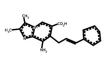 Cc1nc2c(N)c(CC=Cc3ccccc3)c(C(=O)O)cn2c1C